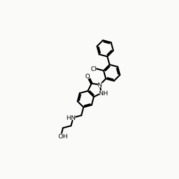 O=c1c2ccc(CNCCO)cc2[nH]n1-c1cccc(-c2ccccc2)c1Cl